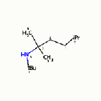 CC(C)CCC(C)(C)NC(C)(C)C